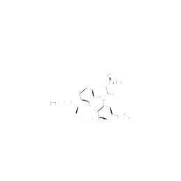 CCNCC(C)N1c2ccccc2Sc2ccc(C#N)cc21.O=C(O)C=CC(=O)O